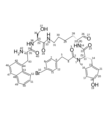 CN(C(=O)CCc1ccc(Br)cc1)[C@@H](Cc1ccc(O)cc1)C(=O)N[C@@H]([C]=O)CCCCNC(=O)[C@H](CO)NC(=O)[C@@H](N)Cc1cccc2ccccc12